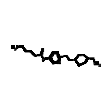 CCCCCC(=O)Oc1ccc(CC[C@H]2CC[C@H](CC)CC2)nc1